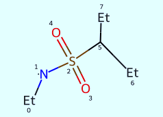 CC[N]S(=O)(=O)C(CC)CC